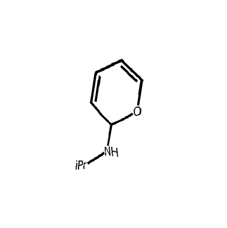 CC(C)N[C]1C=CC=CO1